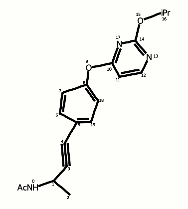 CC(=O)NC(C)C#Cc1ccc(Oc2ccnc(OC(C)C)n2)cc1